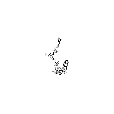 CC[C@@]1(OC(=O)CNC(=O)COCCOC(C)CCNC(=O)CCSCCc2ccncc2)C(=O)OCc2c1cc1n(c2=O)Cc2cc3ccccc3nc2-1